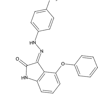 O=C1Nc2cccc(Oc3ccccc3)c2C1=NNc1ccc(S(=O)(=O)O)cc1